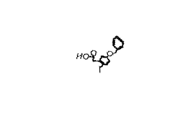 O=C(O)Cc1cc(OCc2ccccc2)ccc1I